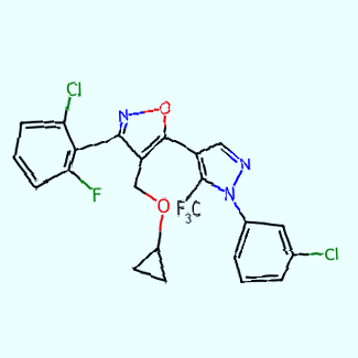 Fc1cccc(Cl)c1-c1noc(-c2cnn(-c3cccc(Cl)c3)c2C(F)(F)F)c1COC1CC1